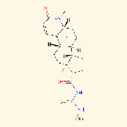 CCCCNC(=S)NC(=O)[C@H]1CC[C@H]2[C@@H]3CC[C@H]4N(C)C(=O)C=C[C@]4(C)[C@H]3CC[C@]12C